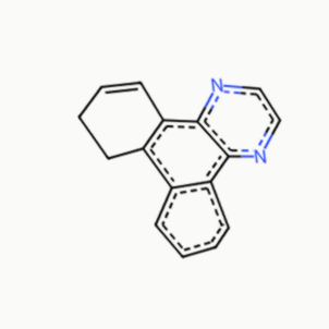 C1=Cc2c(c3ccccc3c3nccnc23)CC1